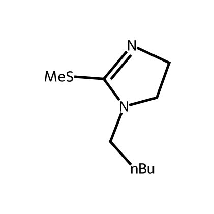 CCCCCN1CCN=C1SC